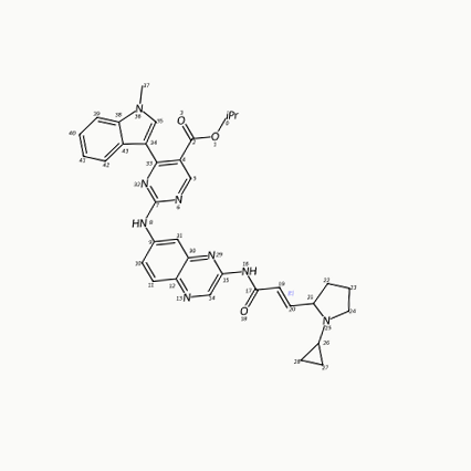 CC(C)OC(=O)c1cnc(Nc2ccc3ncc(NC(=O)/C=C/C4CCCN4C4CC4)nc3c2)nc1-c1cn(C)c2ccccc12